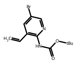 C=Cc1cc(Br)cnc1NC(=O)OC(C)(C)C